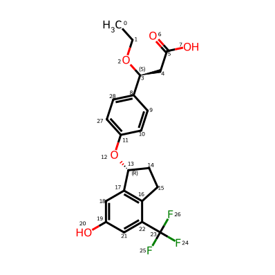 CCO[C@@H](CC(=O)O)c1ccc(O[C@@H]2CCc3c2cc(O)cc3C(F)(F)F)cc1